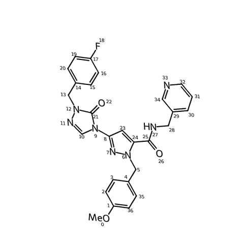 COc1ccc(Cn2nc(-n3cnn(Cc4ccc(F)cc4)c3=O)cc2C(=O)NCc2cccnc2)cc1